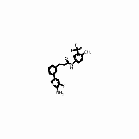 Cc1ccc(NC(=O)CCc2cccc(-c3cnc(N)c(F)c3)c2)cc1C(F)(F)F